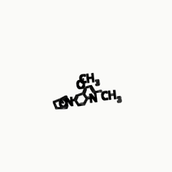 CCc1cc(OC)c2cc(N3CC4CCC(C3)O4)ccc2n1